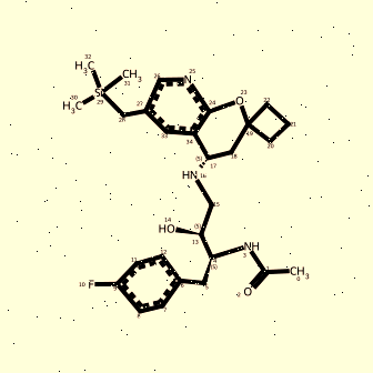 CC(=O)N[C@@H](Cc1ccc(F)cc1)[C@@H](O)CN[C@H]1CC2(CCC2)Oc2ncc(C[Si](C)(C)C)cc21